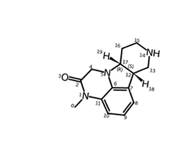 CN1C(=O)CN2c3c(cccc31)[C@H]1CNCC[C@H]12